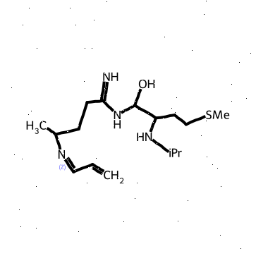 C=C/C=N\C(C)CCC(=N)NC(O)C(CCSC)NC(C)C